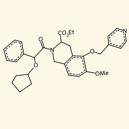 CCOC(=O)C1Cc2c(ccc(OC)c2OCc2ccncc2)CN1C(=O)C(OC1CCCC1)c1ccccc1